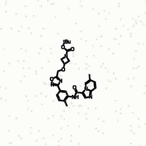 Cc1ccc2ncc(C(=O)Nc3cc(-c4noc(COC5CN(C(=O)OC(C)(C)C)C5)n4)ccc3C)n2c1